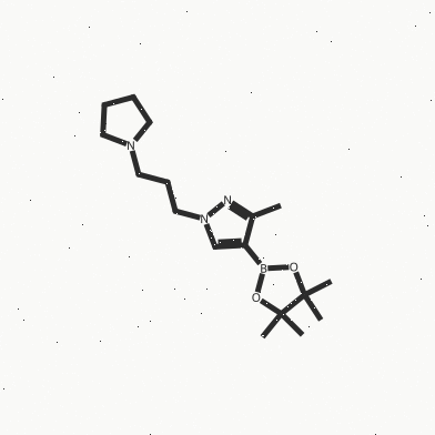 Cc1nn(CCCN2CCCC2)cc1B1OC(C)(C)C(C)(C)O1